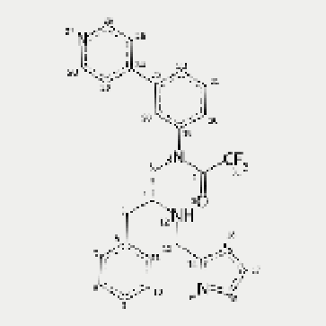 O=C(N(C[C@@H](Cc1ccccc1)NCc1nccs1)c1cccc(-c2ccncc2)c1)C(F)(F)F